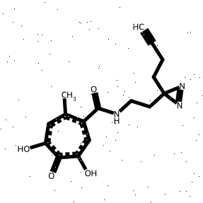 C#CCCC1(CCNC(=O)c2cc(O)c(=O)c(O)cc2C)N=N1